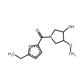 CCc1ccc(C(=O)N2CC(O)C(OC)C2)s1